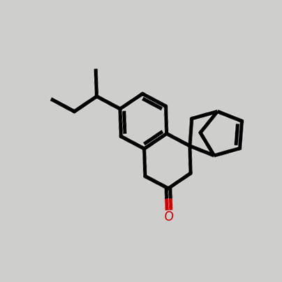 CCC(C)c1ccc2c(c1)CC(=O)CC21CC2C=CC1C2